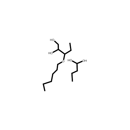 CCCC(O)O.CCCCCCOC(CC)C(O)CO